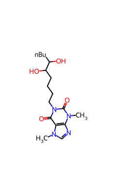 CCCCC(O)C(O)CCCCn1c(=O)c2c(ncn2C)n(C)c1=O